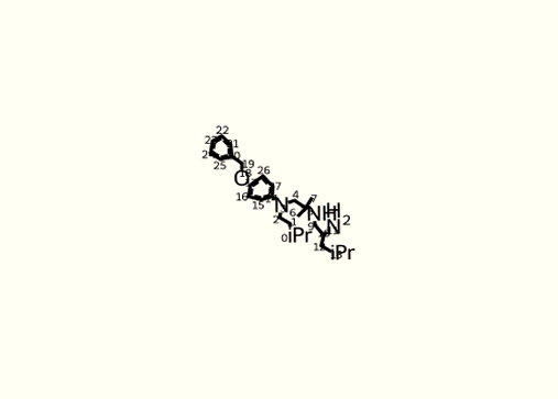 CC(C)CCN(CC(C)(C)NCC(N)CC(C)C)c1ccc(OCc2ccccc2)cc1